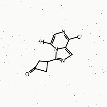 [2H]c1cnc(Cl)c2cnc(C3CC(=O)C3)n12